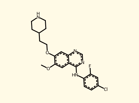 COc1cc2c(Nc3ccc(Cl)cc3F)ncnc2cc1OCCC1CCNCC1